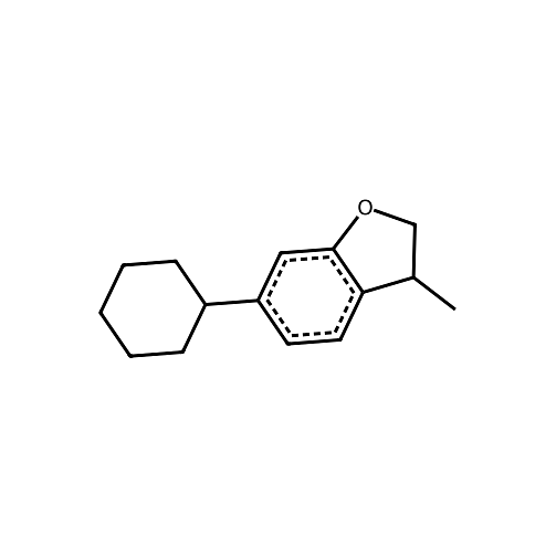 CC1COc2cc(C3CCCCC3)ccc21